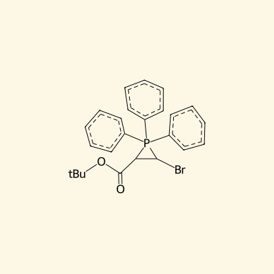 CC(C)(C)OC(=O)C1C(Br)P1(c1ccccc1)(c1ccccc1)c1ccccc1